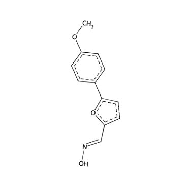 COc1ccc(-c2ccc(C=NO)o2)cc1